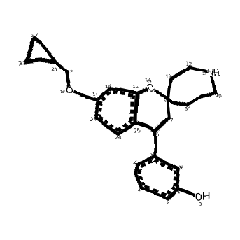 Oc1cccc(C2CC3(CCNCC3)Oc3cc(OCC4CC4)ccc32)c1